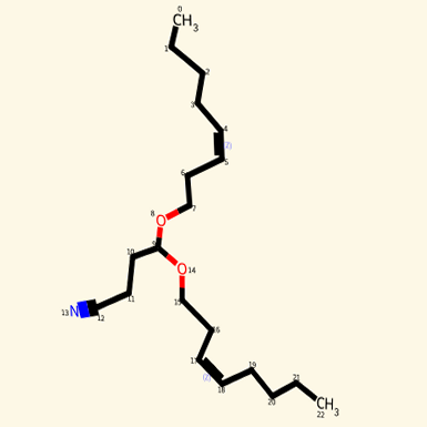 CCCC/C=C\CCOC(CCC#N)OCC/C=C\CCCC